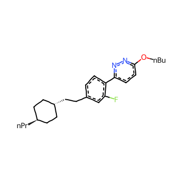 CCCCOc1ccc(-c2ccc(CC[C@H]3CC[C@H](CCC)CC3)cc2F)nn1